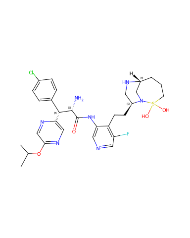 CC(C)Oc1cnc([C@H](c2ccc(Cl)cc2)[C@H](N)C(=O)Nc2cncc(F)c2CC[C@H]2CN[C@@H]3CCCS(O)(O)N2C3)cn1